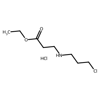 CCOC(=O)CCNCCCCl.Cl